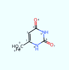 O=C(O)c1cc(=O)[nH]c(=O)[nH]1.[Fe]